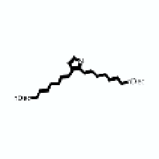 CCCCCCCCCCCCCCCC=CC1=C(C=CCCCCCCCCCCCCCCC)[N]C=C1